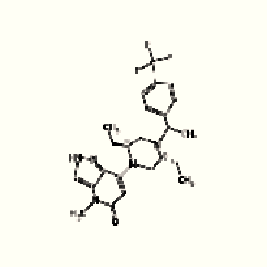 CC[C@H]1CN(C(C)c2ccc(C(F)(F)F)cc2)[C@H](CC)CN1c1cc(=O)n(C)c2c[nH]nc12